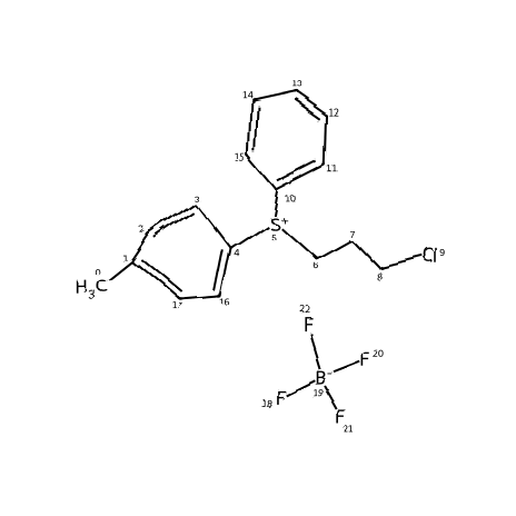 Cc1ccc([S+](CCCCl)c2ccccc2)cc1.F[B-](F)(F)F